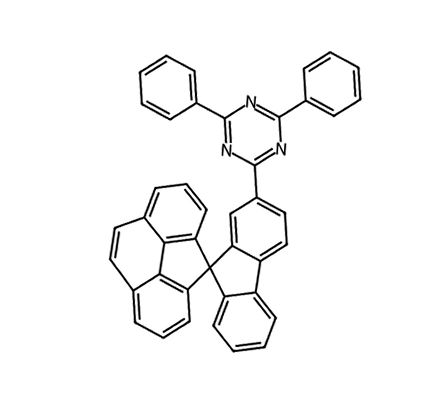 c1ccc(-c2nc(-c3ccccc3)nc(-c3ccc4c(c3)C3(c5ccccc5-4)c4cccc5ccc6cccc3c6c45)n2)cc1